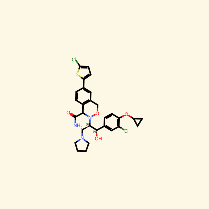 NC(=O)C1c2ccc(-c3ccc(Cl)s3)cc2CON1[C@H](CN1CCCC1)[C@H](O)c1ccc(OC2CC2)c(Cl)c1